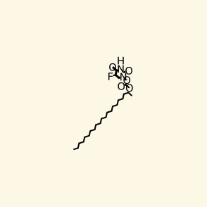 CCCCCCCCCCCCCCCCCCCC(C)OC(=O)On1cc(F)c(=O)[nH]c1=O